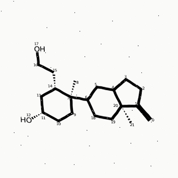 C=C1CCC2CC([C@@]3(C)CC[C@H](O)C[C@@H]3CCO)CC[C@]12C